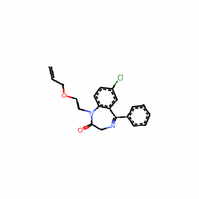 C=CCOCCN1C(=O)CN=C(c2ccccc2)c2cc(Cl)ccc21